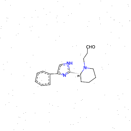 O=CCCN1CCCC[C@@H]1c1nc(-c2ccccc2)c[nH]1